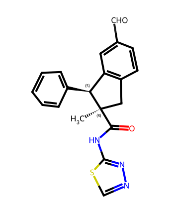 C[C@@]1(C(=O)Nc2nncs2)Cc2ccc(C=O)cc2[C@@H]1c1ccccc1